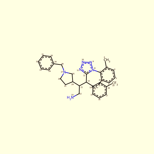 Cc1cccc(C)c1-n1nnnc1C(c1cccc(C(F)(F)F)c1)C(CN)C1CCN(Cc2ccccc2)C1